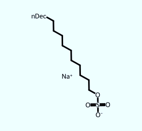 CCCCCCCCCCCCCCCCCCCCOS(=O)(=O)[O-].[Na+]